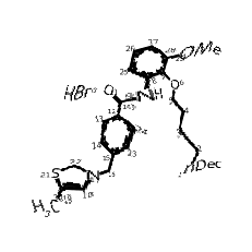 Br.CCCCCCCCCCCCCCOc1c(NC(=O)c2ccc(CN3C=C(C)SC3)cc2)cccc1OC